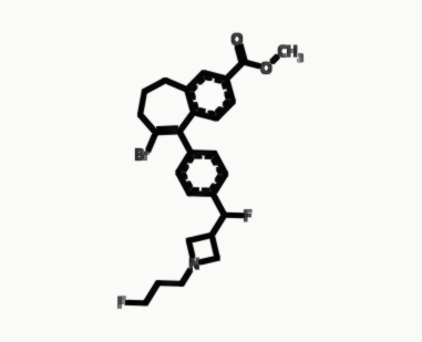 COC(=O)c1ccc2c(c1)CCCC(Br)=C2c1ccc(C(F)C2CN(CCCF)C2)cc1